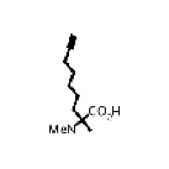 C#CCCCCCC(C)(NC)C(=O)O